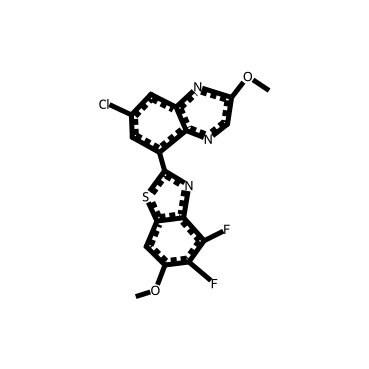 COc1cnc2c(-c3nc4c(F)c(F)c(OC)cc4s3)cc(Cl)cc2n1